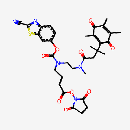 CC1=C(C)C(=O)C(C(C)(C)CC(=O)N(C)CCN(CCCC(=O)ON2C(=O)CCC2=O)C(=O)Oc2ccc3nc(C#N)sc3c2)=C(C)C1=O